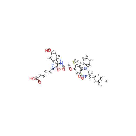 CCCCC1(CCCC)CN(c2ccccc2)c2cc(SC)c(OCC(=O)N[C@@H](C(=O)NCCCCC(=O)O)c3ccc(O)cc3)cc2S(=O)(=O)N1